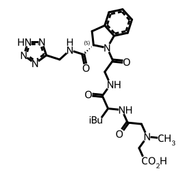 CCC(C)C(NC(=O)CN(C)CC(=O)O)C(=O)NCC(=O)N1c2ccccc2C[C@H]1C(=O)NCc1nn[nH]n1